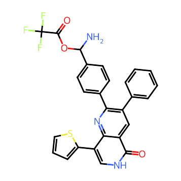 NC(OC(=O)C(F)(F)F)c1ccc(-c2nc3c(-c4cccs4)c[nH]c(=O)c3cc2-c2ccccc2)cc1